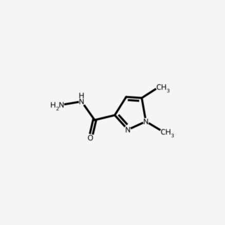 Cc1cc(C(=O)NN)nn1C